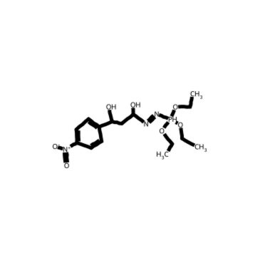 CCO[PH](N=NC(O)CC(O)c1ccc([N+](=O)[O-])cc1)(OCC)OCC